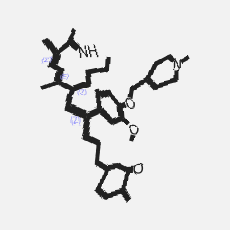 CCC/C=C(/C=C(/CCCC1CCC(C)C(=O)C1)c1cc(OC)c(OCC2CCN(C)CC2)cc1C)C(\C)=C\C=C(\C)C(C)=N